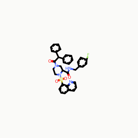 O=C(NCc1ccc(F)cc1)C1CN(C(=O)C(c2ccccc2)c2ccccc2)CCN1S(=O)(=O)c1cccc2cccnc12